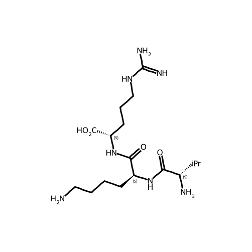 CC(C)[C@H](N)C(=O)N[C@@H](CCCCN)C(=O)N[C@@H](CCCNC(=N)N)C(=O)O